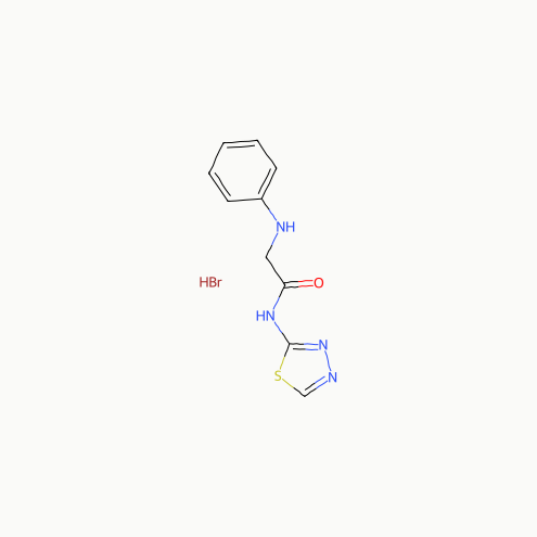 Br.O=C(CNc1ccccc1)Nc1nncs1